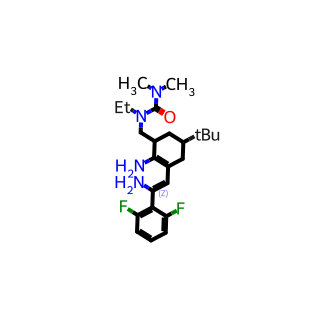 CCN(CC1CC(C(C)(C)C)CC(/C=C(\N)c2c(F)cccc2F)=C1N)C(=O)N(C)C